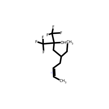 C/C=C\CC(CC)CC(O)(C(F)(F)F)C(F)(F)F